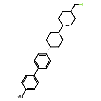 CCCCc1ccc(-c2ccc([C@H]3CC[C@H]([C@H]4CC[C@H](CF)CC4)CC3)cc2)cc1